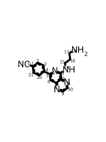 N#Cc1ccc(-c2cc3nccnc3c(NCCCN)n2)cc1